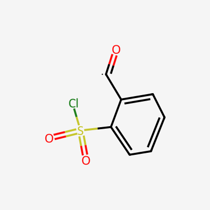 O=[C]c1ccccc1S(=O)(=O)Cl